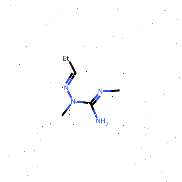 CCC=NN(C)C(N)=NC